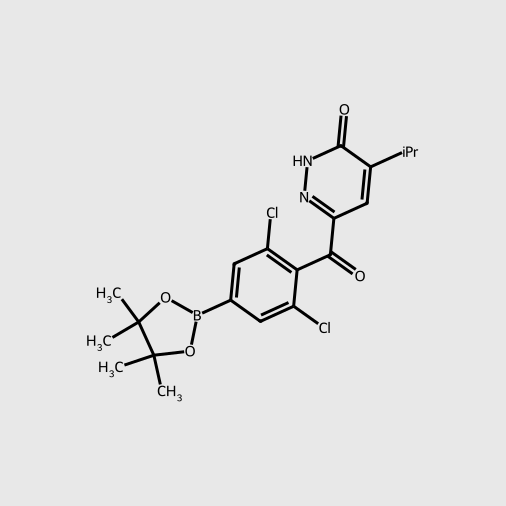 CC(C)c1cc(C(=O)c2c(Cl)cc(B3OC(C)(C)C(C)(C)O3)cc2Cl)n[nH]c1=O